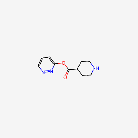 O=C(Oc1cccnn1)C1CCNCC1